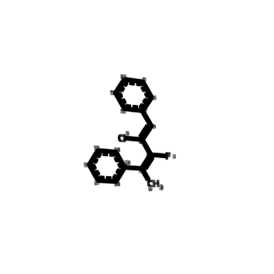 CC(=C(F)C(Cl)=Cc1ccccc1)c1ccccc1